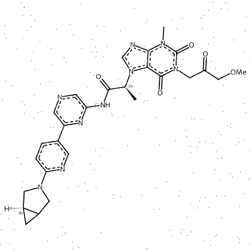 COCC(=O)Cn1c(=O)c2c(ncn2[C@@H](C)C(=O)Nc2cncc(-c3ccc(N4CC5C[C@H]5C4)nc3)n2)n(C)c1=O